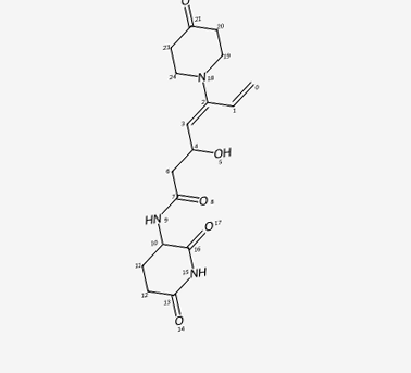 C=C/C(=C\C(O)CC(=O)NC1CCC(=O)NC1=O)N1CCC(=O)CC1